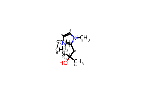 CS(=O)(=O)O.Cn1ccnc1CC(C)(C)O